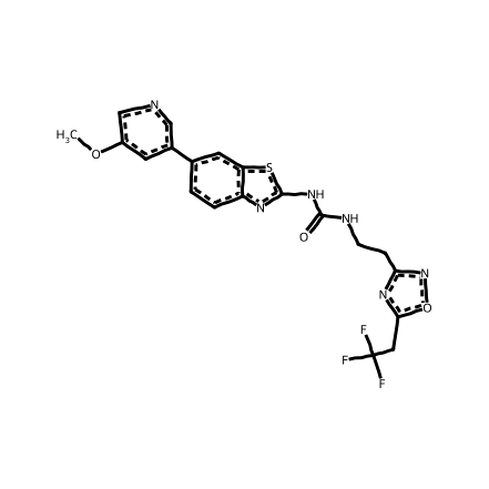 COc1cncc(-c2ccc3nc(NC(=O)NCCc4noc(CC(F)(F)F)n4)sc3c2)c1